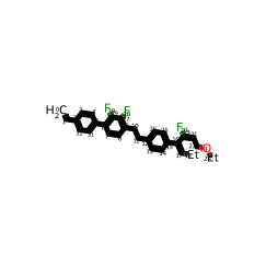 C=Cc1ccc(-c2ccc(CCc3ccc(C(=C/CC)/C(F)=C\COCC)cc3)c(F)c2F)cc1